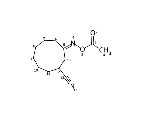 CC(=O)ON=C1CCCCCCC(C#N)C1